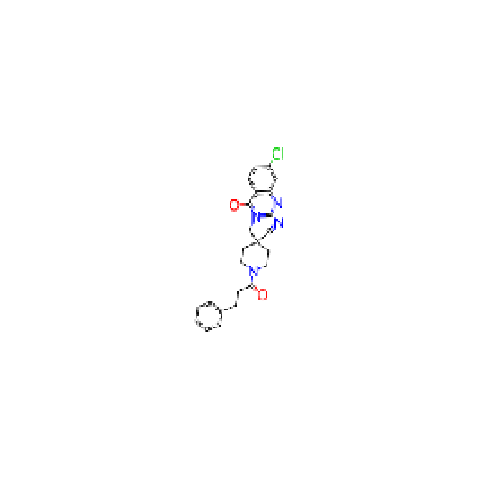 N#CC1(Cn2cnc3cc(Cl)ccc3c2=O)CCN(C(=O)CCc2ccccc2)CC1